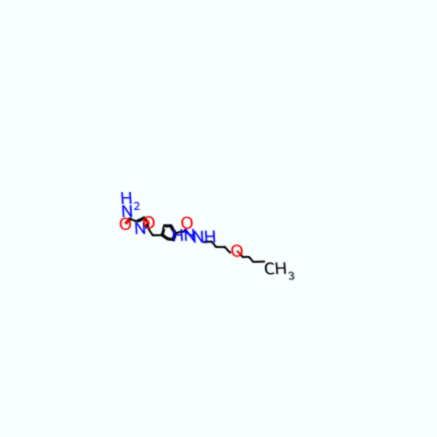 CCCCCOCCCCCNNC(=O)c1ccc(Cc2nc(C(N)=O)co2)cc1